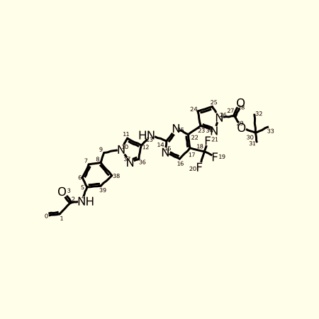 C=CC(=O)Nc1ccc(Cn2cc(Nc3ncc(C(F)(F)F)c(-c4ccn(C(=O)OC(C)(C)C)n4)n3)cn2)cc1